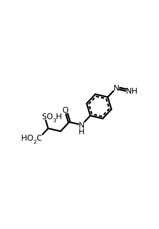 N=Nc1ccc(NC(=O)CC(C(=O)O)S(=O)(=O)O)cc1